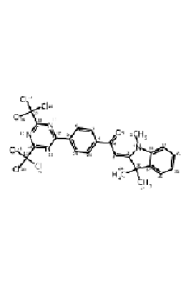 CN1C(=CC(=O)c2ccc(-c3nc(C(Cl)(Cl)Cl)nc(C(Cl)(Cl)Cl)n3)cc2)C(C)(C)c2ccccc21